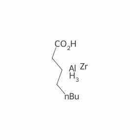 CCCCCCCC(=O)O.[AlH3].[Zr]